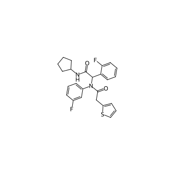 O=C(NC1CCCC1)C(c1ccccc1F)N(C(=O)Cc1cccs1)c1cccc(F)c1